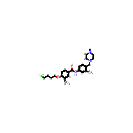 CN1CCN(Cc2ccc(NC(=O)c3ccc(OCCCCCl)c([N+](=O)[O-])c3)cc2C(F)(F)F)CC1